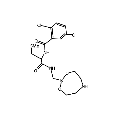 CSCC(NC(=O)c1cc(Cl)ccc1Cl)C(=O)NCB1OCCNCCO1